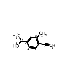 C#Cc1ccc([C@H](C)O)cc1C